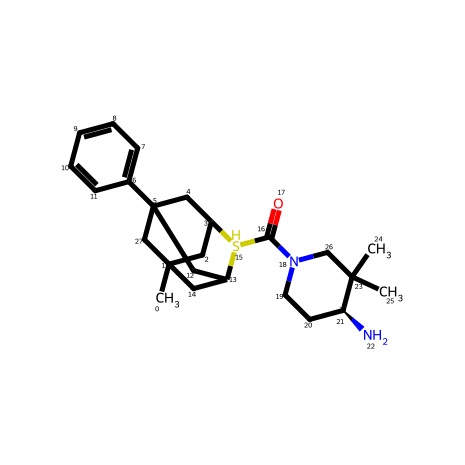 CC12CC3CC(c4ccccc4)(CC(C1)[SH]3C(=O)N1CC[C@H](N)C(C)(C)C1)C2